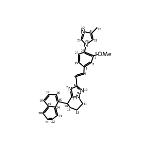 COc1cc(C=Cc2nc3n(n2)CCCC3c2cccc3ccccc23)ccc1-n1cnc(C)c1